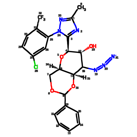 Cc1nc([C@@H]2O[C@@H]3COC(c4ccccc4)O[C@@H]3C(N=[N+]=[N-])[C@H]2O)n(-c2cc(Cl)ccc2C(F)(F)F)n1